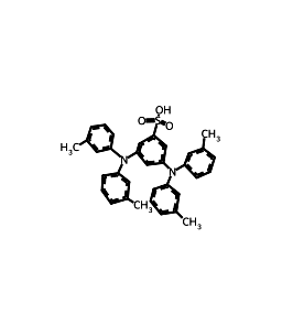 Cc1cccc(N(c2cccc(C)c2)c2cc(N(c3cccc(C)c3)c3cccc(C)c3)cc(S(=O)(=O)O)c2)c1